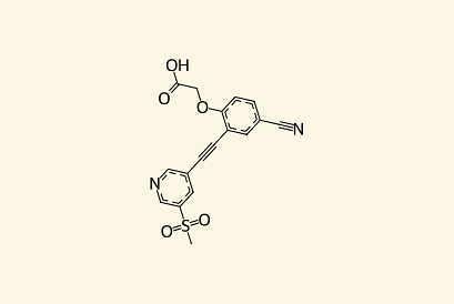 CS(=O)(=O)c1cncc(C#Cc2cc(C#N)ccc2OCC(=O)O)c1